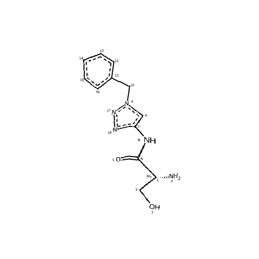 N[C@H](CO)C(=O)Nc1cn(Cc2ccccc2)nn1